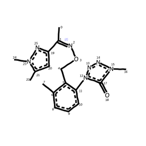 C/C(=N/OCc1c(C)cccc1-n1nnn(C)c1=O)c1cc(C)n(C)n1